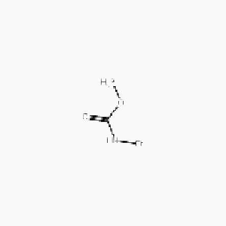 CCNC(=O)OP